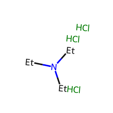 CCN(CC)CC.Cl.Cl.Cl